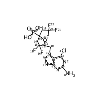 Nc1nc(Cl)c2c(ncn2CCOC(CC(F)(F)F)(CC(F)(F)F)P(=O)(O)O)n1